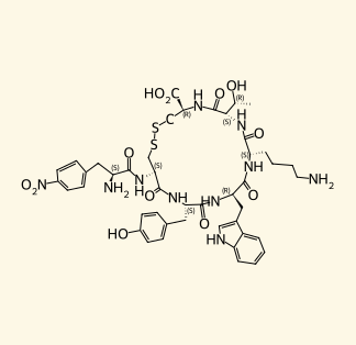 C[C@@H](O)[C@@H]1NC(=O)[C@H](CCCCN)NC(=O)[C@@H](Cc2c[nH]c3ccccc23)NC(=O)[C@H](Cc2ccc(O)cc2)NC(=O)[C@H](NC(=O)[C@@H](N)Cc2ccc([N+](=O)[O-])cc2)CSSC[C@@H](C(=O)O)NC1=O